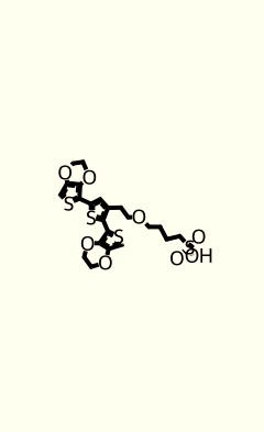 O=S(=O)(O)CCCCOCCc1cc(-c2scc3c2OCCO3)sc1-c1scc2c1OCCO2